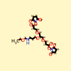 CCOCNCCCOC(COCCC(=O)ON1C(=O)CCC1=O)COCCC(=O)ON1C(=O)CCC1=O